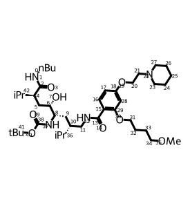 CCCCNC(=O)[C@@H](C[C@H](O)[C@H](C[C@H](CNC(=O)c1ccc(OCCN2CCCCC2)cc1OCCCCOC)C(C)C)NC(=O)OC(C)(C)C)C(C)C